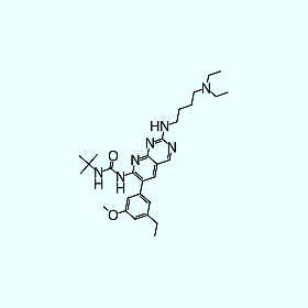 CCc1cc(OC)cc(-c2cc3cnc(NCCCCN(CC)CC)nc3nc2NC(=O)NC(C)(C)C)c1